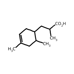 CC1=CCC(CC(C)C(=O)O)C(C)C1